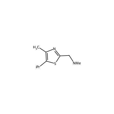 CNCc1nc(C)c(C(C)C)s1